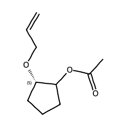 C=CCO[C@H]1CCCC1OC(C)=O